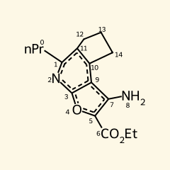 CCCc1nc2oc(C(=O)OCC)c(N)c2c2c1CCC2